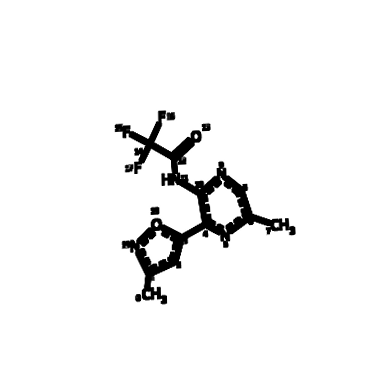 Cc1cc(-c2nc(C)cnc2NC(=O)C(F)(F)F)on1